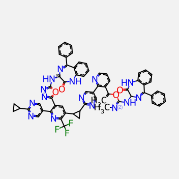 C=C(O/C(=N\C)NC1N=C(c2ccccc2)c2ccccc2NC1=O)c1cccnc1-c1cnc(C2CC2c2cc(-c3nnc(N[C@H]4N=C(c5ccccc5)c5ccccc5NC4=O)o3)c(-c3cnc(C4CC4)nc3)nc2C(F)(F)F)nc1